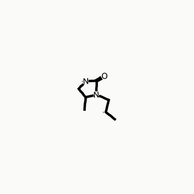 C[CH]CN1C(=O)[N]CC1C